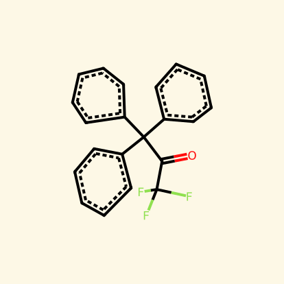 O=C(C(F)(F)F)C(c1ccccc1)(c1ccccc1)c1ccccc1